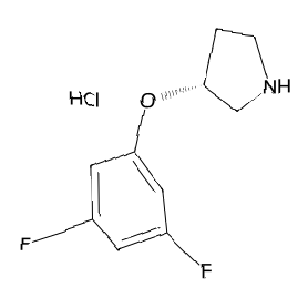 Cl.Fc1cc(F)cc(O[C@@H]2CCNC2)c1